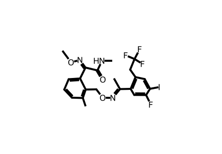 CNC(=O)/C(=N/OC)c1cccc(C)c1CO/N=C(\C)c1cc(F)c(I)cc1CC(F)(F)F